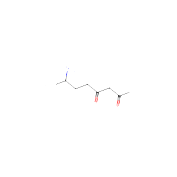 CCC(=O)CC(=O)CCC(N)C(=O)O